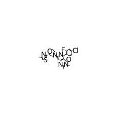 Cc1csc([C@@H]2CN(c3cc4nc(C)n(C)c(=O)c4c(-c4ccc(Cl)cc4F)n3)CCO2)n1